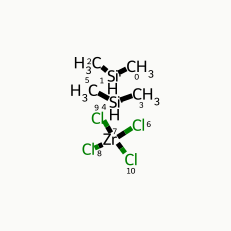 C[SiH]C.C[SiH]C.[Cl][Zr]([Cl])([Cl])[Cl]